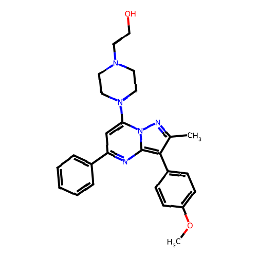 COc1ccc(-c2c(C)nn3c(N4CCN(CCO)CC4)cc(-c4ccccc4)nc23)cc1